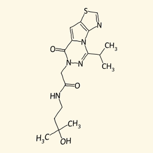 CC(C)c1nn(CC(=O)NCCC(C)(C)O)c(=O)c2cc3scnc3n12